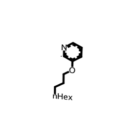 CCCCCCCCCOc1[c]nccc1